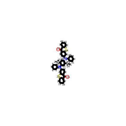 C[Si]1(C)c2ccccc2N(c2ccc3c(=O)c4ccccc4sc3c2)c2cc3c(cc21)N(c1ccc2c(=O)c4ccccc4sc2c1)c1ccccc1[Si]3(C)C